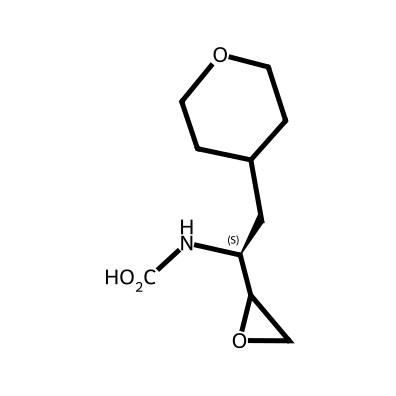 O=C(O)N[C@@H](CC1CCOCC1)C1CO1